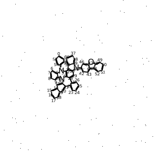 c1ccc(N2c3ccccc3N3c4cc5ccccc5cc4-c4ccccc4-c4cc5c(c2c43)c2ccccc2n5-c2ccc3c(c2)oc2ccccc23)cc1